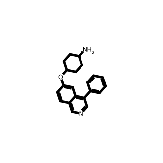 NC1CCC(Oc2ccc3cncc(-c4ccccc4)c3c2)CC1